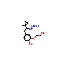 CC1(C(Cc2ccc(O)c(OCCO)c2)NN=N)CC1